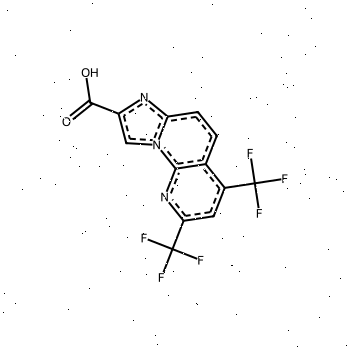 O=C(O)c1cn2c(ccc3c(C(F)(F)F)cc(C(F)(F)F)nc32)n1